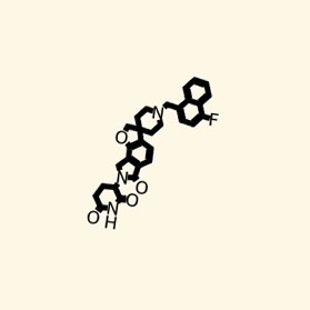 O=C1CCC(N2Cc3c(ccc4c3OCC43CCN(Cc4ccc(F)c5ccccc45)CC3)C2=O)C(=O)N1